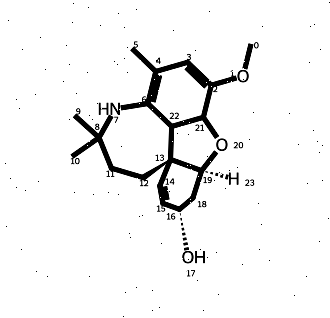 COC1=CC(C)=C2NC(C)(C)CC[C@]34C=C[C@@H](O)C[C@@H]3OC1C24